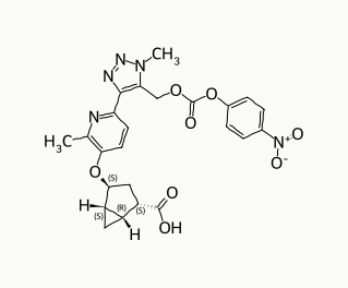 Cc1nc(-c2nnn(C)c2COC(=O)Oc2ccc([N+](=O)[O-])cc2)ccc1O[C@H]1C[C@H](C(=O)O)[C@@H]2C[C@@H]21